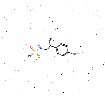 CC(CNS(=O)(=O)C(C)C)c1ccc(C=O)cc1